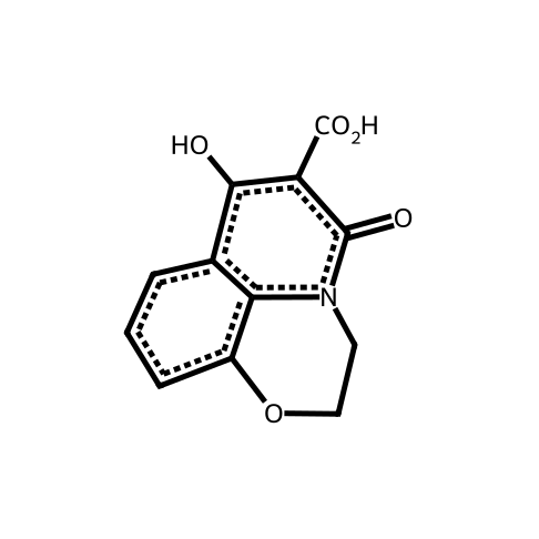 O=C(O)c1c(O)c2cccc3c2n(c1=O)CCO3